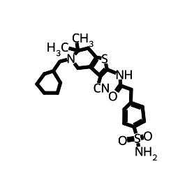 CC1(C)Cc2sc(NC(=O)Cc3ccc(S(N)(=O)=O)cc3)c(C#N)c2CN1CC1CCCCC1